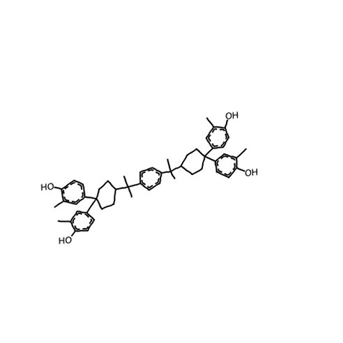 Cc1cc(C2(c3ccc(O)c(C)c3)CCC(C(C)(C)c3ccc(C(C)(C)C4CCC(c5ccc(O)c(C)c5)(c5ccc(O)c(C)c5)CC4)cc3)CC2)ccc1O